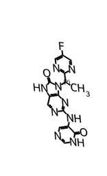 C[C@H](c1ncc(F)cn1)n1c(=O)[nH]c2cnc(Nc3cnc[nH]c3=O)nc21